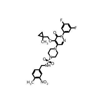 Cc1ccc(CNS(=O)(=O)N2CCN(c3cnn(-c4cc(F)cc(F)c4)c(=O)c3OCC3(C)CC3)CC2)cc1[N+](=O)[O-]